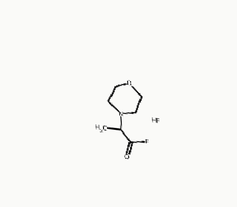 CC(C(=O)F)N1CCOCC1.F